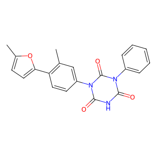 Cc1ccc(-c2ccc(-n3c(=O)[nH]c(=O)n(-c4ccccc4)c3=O)cc2C)o1